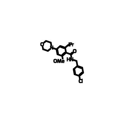 COc1cc(N2CCOCC2)cc(C(C)C)c1C(=O)NCc1ccc(Cl)cc1